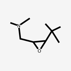 CN(C)CC1OC1C(C)(C)C